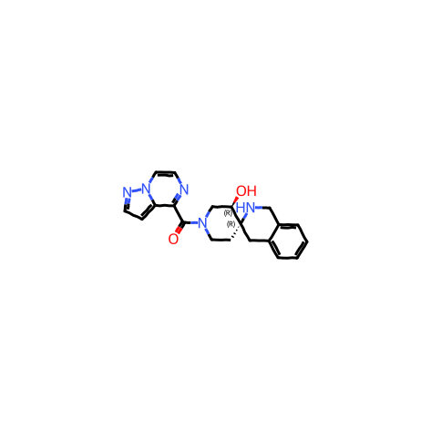 O=C(c1nccn2nccc12)N1CC[C@]2(Cc3ccccc3CN2)[C@H](O)C1